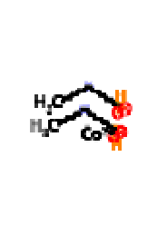 CCCCCCCC/C=C\CCCCCCCC[PH](=O)[O-].CCCCCCCC/C=C\CCCCCCCC[PH](=O)[O-].[Co+2]